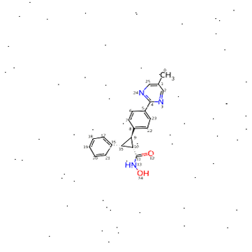 Cc1cnc(-c2ccc([C@H]3[C@H](C(=O)NO)[C@@H]3c3ccccc3)cc2)nc1